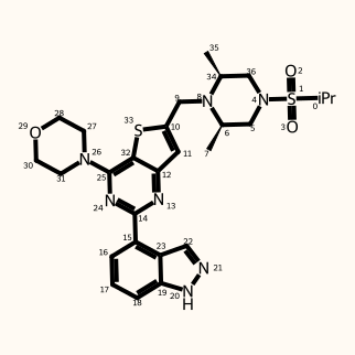 CC(C)S(=O)(=O)N1C[C@@H](C)N(Cc2cc3nc(-c4cccc5[nH]ncc45)nc(N4CCOCC4)c3s2)[C@@H](C)C1